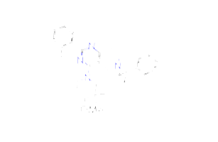 COC1CCN(c2nc(-c3c(C)cccc3C)nc3c2CN([C@H](C)c2ccccc2)CC3)CC1(C)C